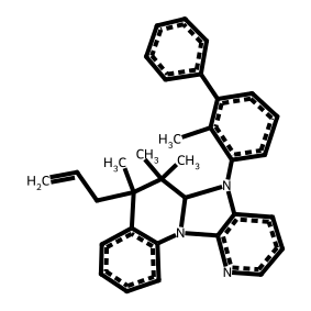 C=CCC1(C)c2ccccc2N2c3ncccc3N(c3cccc(-c4ccccc4)c3C)C2C1(C)C